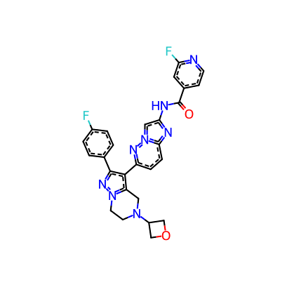 O=C(Nc1cn2nc(-c3c(-c4ccc(F)cc4)nn4c3CN(C3COC3)CC4)ccc2n1)c1ccnc(F)c1